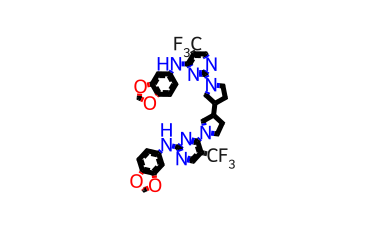 FC(F)(F)c1cnc(N2CCC(C3CCN(c4nc(Nc5ccc6c(c5)OCO6)ncc4C(F)(F)F)C3)C2)nc1Nc1ccc2c(c1)OCO2